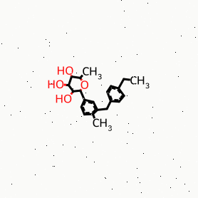 CCc1ccc(Cc2cc(C3OC(C)C(O)C(O)C3O)ccc2C)cc1